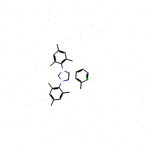 Cc1cc(C)c(N2CCN(c3c(C)cc(C)cc3C)C2)c(C)c1.Cc1ccccc1.Cl.Cl